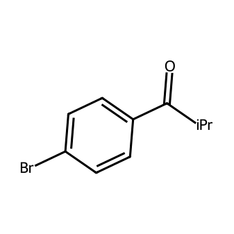 CC(C)C(=O)c1ccc(Br)cc1